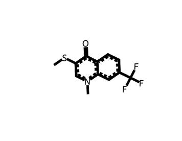 CSc1cn(C)c2cc(C(F)(F)F)ccc2c1=O